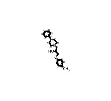 Cc1ccc(OCC(O)CN2CCN(c3ccccc3)CC2)cc1